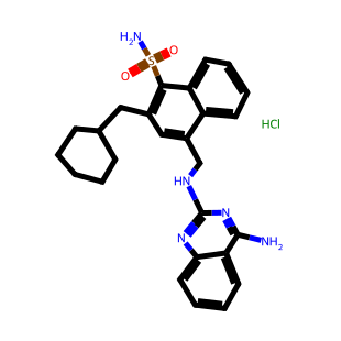 Cl.Nc1nc(NCc2cc(CC3CCCCC3)c(S(N)(=O)=O)c3ccccc23)nc2ccccc12